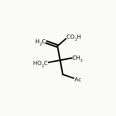 C=C(C(=O)O)C(C)(CC(C)=O)C(=O)O